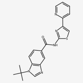 CC(C)(C)n1cnc2cc(C(=O)Nc3nc(-c4ccccn4)cs3)ccc21